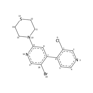 Clc1cnccc1-c1cc(N2CCSCC2)ncc1Br